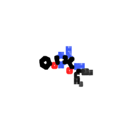 CC(NC(=O)c1c[nH]c2ncc(Oc3ccccc3)nc12)C(C)(C)C